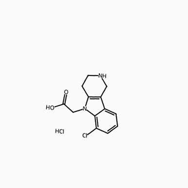 Cl.O=C(O)Cn1c2c(c3cccc(Cl)c31)CNCC2